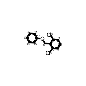 Clc1cccc(Cl)c1COc1ccccc1